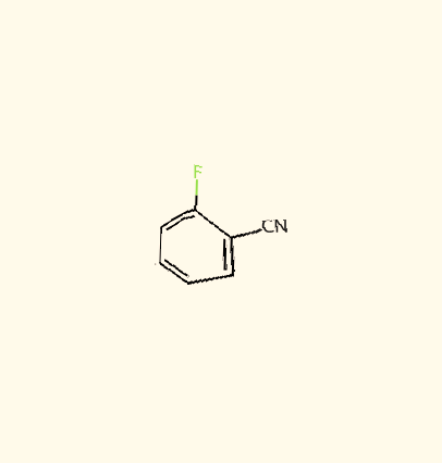 N#Cc1cc[c]cc1F